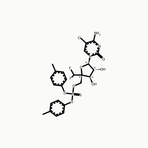 Cc1ccc(OP(=S)(OC[C@@]2(C(F)F)O[C@@H](n3cc(Cl)c(N)nc3=O)[C@H](O)[C@H]2O)Oc2ccc(C)cc2)cc1